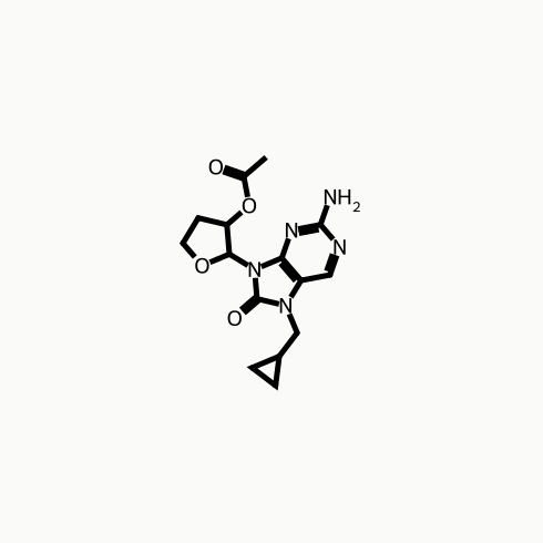 CC(=O)OC1CCOC1n1c(=O)n(CC2CC2)c2cnc(N)nc21